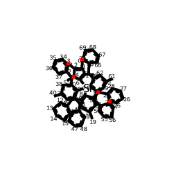 CC1=C(C)C(C)C([Si](c2c(Cc3ccccc3)cc(C)cc2Cc2ccccc2)(c2c(Cc3ccccc3)cc(C)cc2Cc2ccccc2)c2c(Cc3ccccc3)cc(C)cc2Cc2ccccc2)=C1C